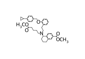 COC(=O)CCCCN(CCc1ccccc1OCc1ccc(C2CC2)cc1)C1CCCc2cc(C(=O)OC)ccc21